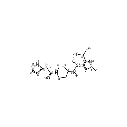 Cn1cc([S+]([O-])[C@@H](F)C2CCN(C(=O)Nc3ccon3)CC2)c(C(F)F)n1